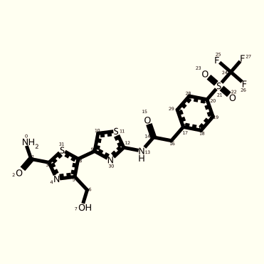 NC(=O)c1nc(CO)c(-c2csc(NC(=O)Cc3ccc(S(=O)(=O)C(F)(F)F)cc3)n2)s1